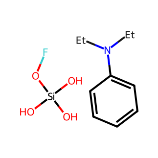 CCN(CC)c1ccccc1.O[Si](O)(O)OF